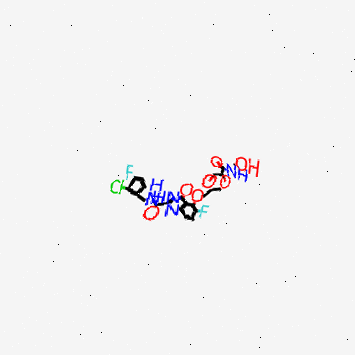 O=C(NCc1ccc(F)c(Cl)c1)c1nc2ccc(F)c(OCC3COC(C(=O)NCO)CO3)c2c(=O)[nH]1